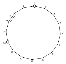 C1=C\COCCCCCCCCCCOC/1